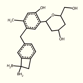 BC1(B)Cc2ccc(Cc3cc(C4CC(O)CC(CO)O4)c(O)cc3C)cc21